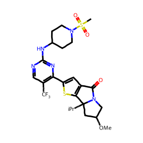 COC1CN2C(=O)c3cc(-c4nc(NC5CCN(S(C)(=O)=O)CC5)ncc4C(F)(F)F)sc3C2(C(C)C)C1